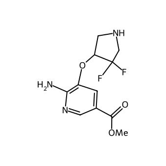 COC(=O)c1cnc(N)c(OC2CNCC2(F)F)c1